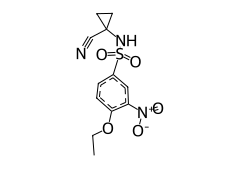 CCOc1ccc(S(=O)(=O)NC2(C#N)CC2)cc1[N+](=O)[O-]